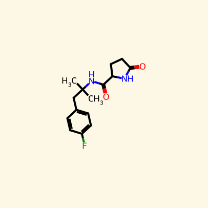 CC(C)(Cc1ccc(F)cc1)NC(=O)C1CCC(=O)N1